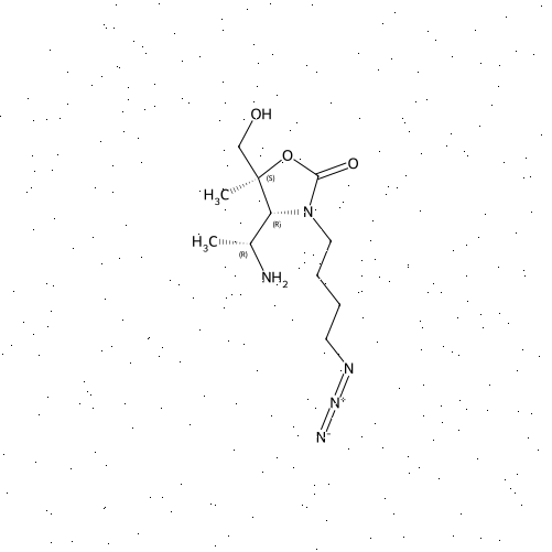 C[C@@H](N)[C@H]1N(CCCCN=[N+]=[N-])C(=O)O[C@]1(C)CO